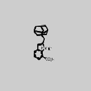 O=C(O)c1cccc2c1[NH+]([O-])C(CC13CC4CC(CC(C4)C1)C3)=C2